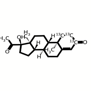 CC(=O)[C@@]1(O)CC[C@H]2[C@@H]3CCC4=C[13C](=O)[13CH2][13CH2][C@]4(C)[C@H]3CC[C@@]21C